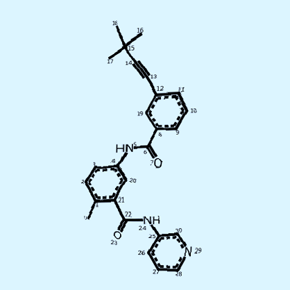 Cc1ccc(NC(=O)c2cccc(C#CC(C)(C)C)c2)cc1C(=O)Nc1cccnc1